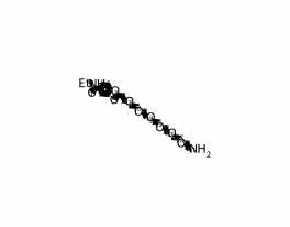 CCNC(=O)c1ccc(OC(=O)CCOCCOCCOCCOCCOCCOCCN)cc1